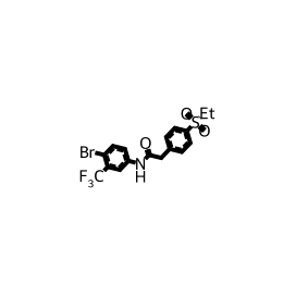 CCS(=O)(=O)c1ccc(CC(=O)Nc2ccc(Br)c(C(F)(F)F)c2)cc1